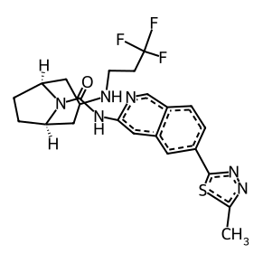 Cc1nnc(-c2ccc3cnc(NC(=O)N4[C@@H]5CC[C@H]4CC(NCCC(F)(F)F)C5)cc3c2)s1